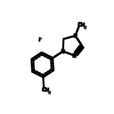 Cc1cccc(N2CN(C)C#[N+]2)c1.[I-]